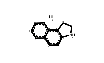 I.c1ccc2c3c(ccc2c1)NCC3